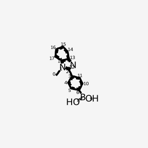 Cn1c(-c2ccc(B(O)O)cc2)nc2ccccc21